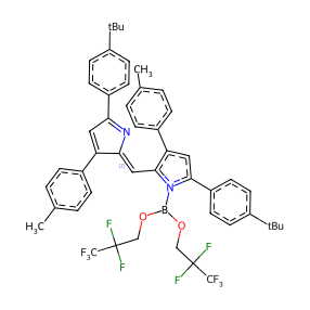 Cc1ccc(C2=CC(c3ccc(C(C)(C)C)cc3)=N/C2=C\c2c(-c3ccc(C)cc3)cc(-c3ccc(C(C)(C)C)cc3)n2B(OCC(F)(F)C(F)(F)F)OCC(F)(F)C(F)(F)F)cc1